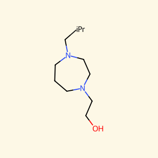 CC(C)CN1CCCN(CCO)CC1